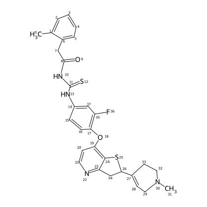 Cc1ccccc1CC(=O)NC(=S)Nc1ccc(Oc2ccnc3c2SC(C2=CCN(C)CC2)C3)c(F)c1